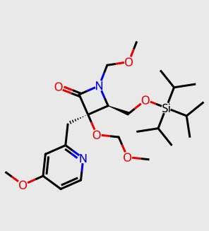 COCO[C@@]1(Cc2cc(OC)ccn2)C(=O)N(COC)[C@H]1CO[Si](C(C)C)(C(C)C)C(C)C